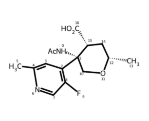 CC(=O)N[C@@]1(c2cc(C)ncc2F)CO[C@@H](C)C[C@H]1C(=O)O